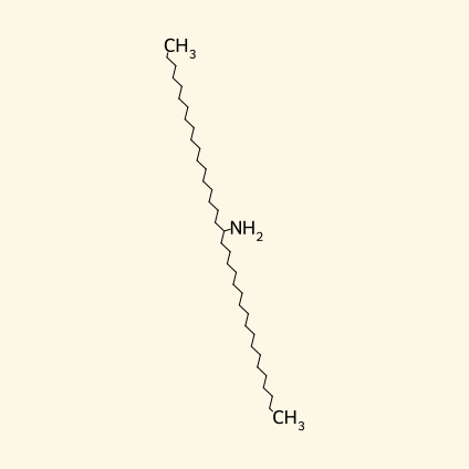 CCCCCCCCCCCCCCCCCCC(N)CCCCCCCCCCCCCCCCCC